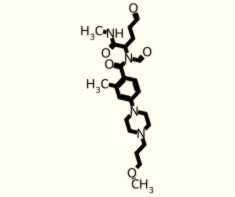 CNC(=O)C(CCC=O)N(C=O)C(=O)c1ccc(N2CCN(CCCOC)CC2)cc1C